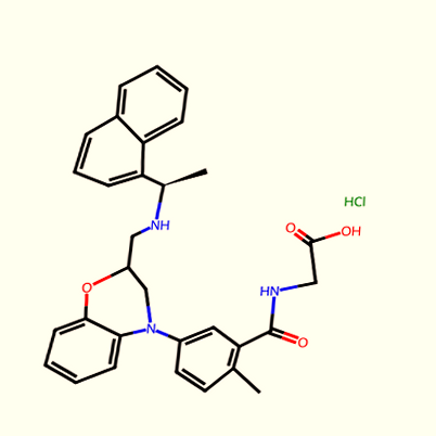 Cc1ccc(N2CC(CN[C@H](C)c3cccc4ccccc34)Oc3ccccc32)cc1C(=O)NCC(=O)O.Cl